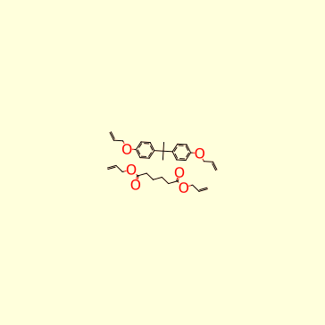 C=CCOC(=O)CCCCC(=O)OCC=C.C=CCOc1ccc(C(C)(C)c2ccc(OCC=C)cc2)cc1